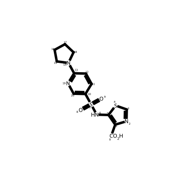 O=C(O)c1ncsc1NS(=O)(=O)c1ccc(N2CCCC2)nc1